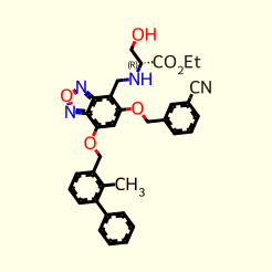 CCOC(=O)[C@@H](CO)NCc1c(OCc2cccc(C#N)c2)cc(OCc2cccc(-c3ccccc3)c2C)c2nonc12